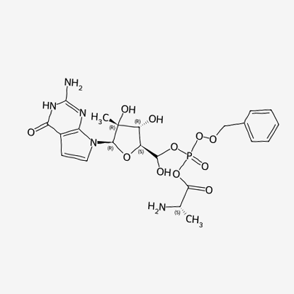 C[C@H](N)C(=O)OP(=O)(OOCc1ccccc1)OC(O)[C@H]1O[C@@H](n2ccc3c(=O)[nH]c(N)nc32)[C@](C)(O)[C@@H]1O